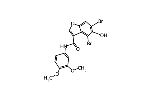 COc1ccc(NC(=O)c2coc3cc(Br)c(O)c(Br)c23)cc1OC